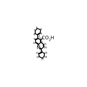 O=C(O)c1c(C2=CCCCC2)ccc2nc(C3=CCCCC3)ccc12